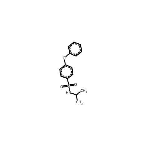 CC(C)NS(=O)(=O)c1ccc(Oc2ccccc2)cc1